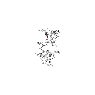 C=C(C[C@H]1O[C@@H]2O[C@]3(C)CC[C@H]4[C@H](C)CC[C@@H]([C@H]1C)[C@@]24OO3)C[C@H]1O[C@@H]2O[C@]3(C)CC[C@H]4[C@H](C)CC[C@@H]([C@H]1C)[C@@]24OO3